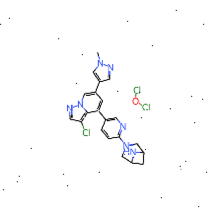 ClOCl.Cn1cc(-c2cc(-c3ccc(N4CC5CC(C4)N5)nc3)c3c(Cl)cnn3c2)cn1